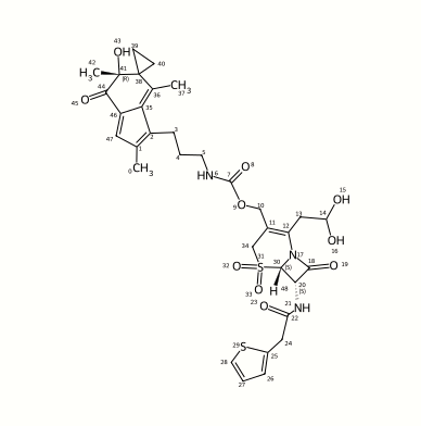 CC1=C(CCCNC(=O)OCC2=C(CC(O)O)N3C(=O)[C@H](NC(=O)Cc4cccs4)[C@@H]3S(=O)(=O)C2)C2=C(C)C3(CC3)[C@@](C)(O)C(=O)C2=C1